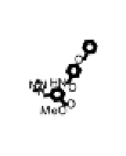 COC(=O)c1cc(Cn2cncn2)cc(NC(=O)c2ccc(OCc3ccccc3)cc2)c1